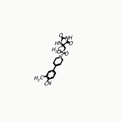 Cc1cc(C2=CCN(S(=O)(=O)CC3(C)NC(=O)NC3=O)CC2)ccc1C#N